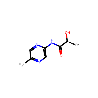 Cc1cnc(NC(=O)[C@@H](O)C(C)C)cn1